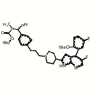 CCCC(c1ccc(CCCN2CCC(c3cc4c(-c5cc(F)ccc5OC)c(F)cnc4[nH]3)CC2)cc1)N(C)C(=O)OC(C)(C)C